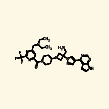 CCN(CC)Cc1cc(C(=O)N2CCC(N3CC(CN)(n4cc(-c5ncnc6[nH]ccc56)cn4)C3)CC2)nc(C(F)(F)F)n1